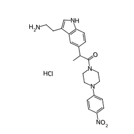 CC(C(=O)N1CCN(c2ccc([N+](=O)[O-])cc2)CC1)c1ccc2[nH]cc(CCN)c2c1.Cl